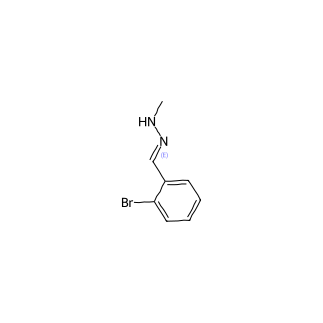 CN/N=C/c1ccccc1Br